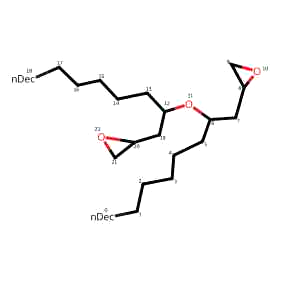 CCCCCCCCCCCCCCCC(CC1CO1)OC(CCCCCCCCCCCCCCC)CC1CO1